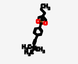 CCCC12COC(c3ccc(C#C[Si](C)(C)C)cc3)(OC1)SC2